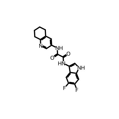 O=C(Nc1cnc2c(c1)CCCC2)C(=O)Nc1c[nH]c2cc(F)c(F)cc12